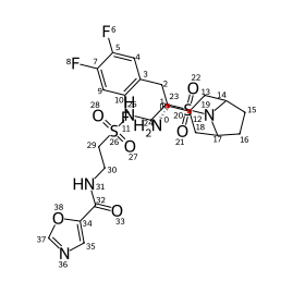 N[C@H](Cc1cc(F)c(F)cc1F)C1CC2CCC(C1)N2S(=O)(=O)CCNS(=O)(=O)CCNC(=O)c1cnco1